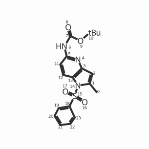 Cc1cc2nc(NC(=O)OC(C)(C)C)ccc2n1S(=O)(=O)c1ccccc1